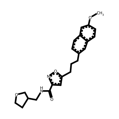 COc1ccc2cc(CCCc3cc(C(=O)NCC4CCOC4)no3)ccc2c1